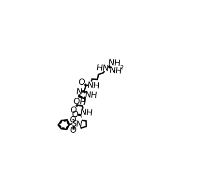 N=C(N)NCCCCNC(=O)c1ncc(C[C@H](NC(=O)[C@@H]2CCCN2S(=O)(=O)c2ccccc2)C(=O)O)[nH]1